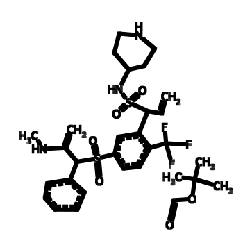 C=CC(c1cc(S(=O)(=O)C(C(=C)NC)c2ccccc2)ccc1C(F)(F)F)S(=O)(=O)NC1CCNCC1.CC(C)(C)OC=O